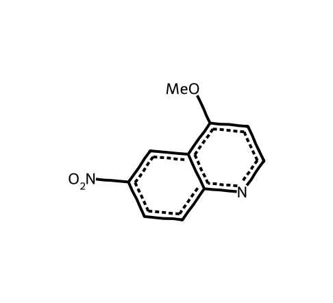 COc1ccnc2ccc([N+](=O)[O-])cc12